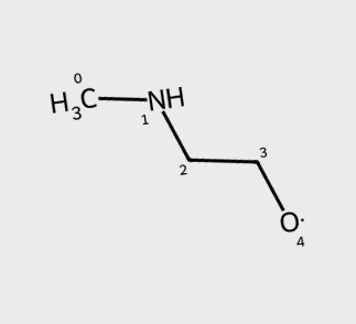 CNCC[O]